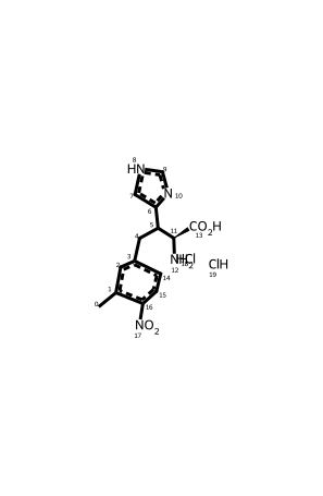 Cc1cc(CC(c2c[nH]cn2)[C@H](N)C(=O)O)ccc1[N+](=O)[O-].Cl.Cl